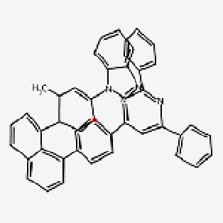 CC1C=C(n2cnc3ccccc32)C=CC1c1cccc2cccc(-c3ccc(-c4cc(-c5ccccc5)nc(-c5ccccc5)n4)cc3)c12